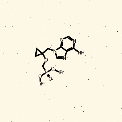 CC(C)OP(=O)(COC1(Cn2cnc3c(N)ncnc32)CC1)OC(C)C